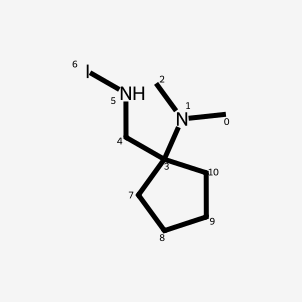 CN(C)C1(CNI)CCCC1